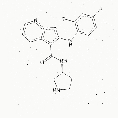 O=C(N[C@@H]1CCNC1)c1c(Nc2ccc(I)cc2F)sc2ncccc12